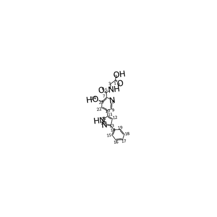 O=C(O)CNC(=O)c1ncc(-c2cc(-c3ccccc3)n[nH]2)cc1O